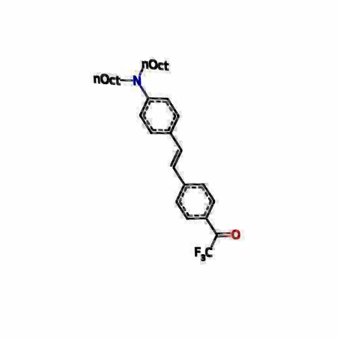 CCCCCCCCN(CCCCCCCC)c1ccc(C=Cc2ccc(C(=O)C(F)(F)F)cc2)cc1